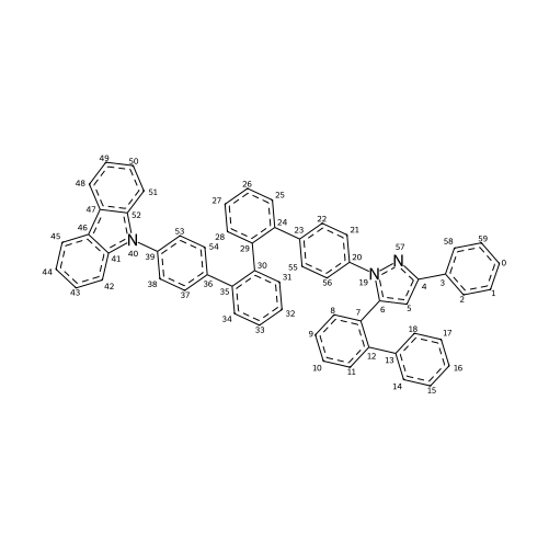 c1ccc(-c2cc(-c3ccccc3-c3ccccc3)n(-c3ccc(-c4ccccc4-c4ccccc4-c4ccc(-n5c6ccccc6c6ccccc65)cc4)cc3)n2)cc1